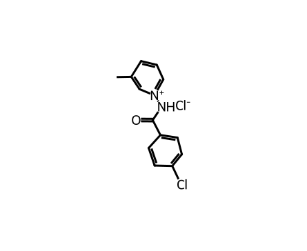 Cc1ccc[n+](NC(=O)c2ccc(Cl)cc2)c1.[Cl-]